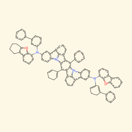 C1=CC(c2c3c4cccc5c6cc(N(C7=CCCC(c8ccccc8)=C7)c7cccc8c7oc7ccccc78)ccc6n(c3c(-c3ccccc3)c3c6cccc7c8cc(N(c9cccc(-c%10ccccc%10)c9)c9cccc%10c%11c(oc9%10)CCCC%11)ccc8n(c23)c76)c54)=CCC1